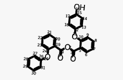 O=C(OC(=O)c1ccccc1Oc1ccc(O)cc1)c1ccccc1Oc1ccccc1